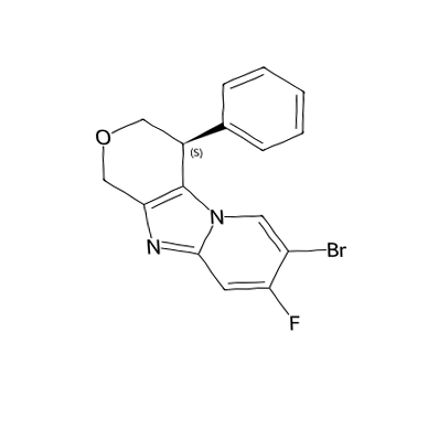 Fc1cc2nc3c(n2cc1Br)[C@H](c1ccccc1)COC3